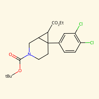 CCOC(=O)C1C2CN(C(=O)OC(C)(C)C)CCC21c1ccc(Cl)c(Cl)c1